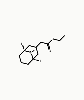 CCOC(=O)CC1C[C@H]2CCC[C@@H](C1)N2C